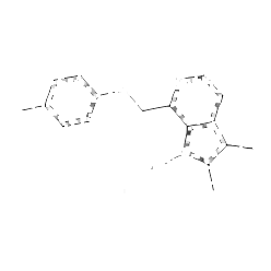 CCCn1c(C)c(C)c2ccnc(CNc3ccc(F)cc3)c21.Cl